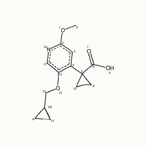 COc1cc(C2(C(=O)O)CC2)c(OCC2CC2)cn1